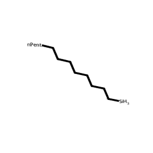 CCCCCCCCCCCC[CH][SiH3]